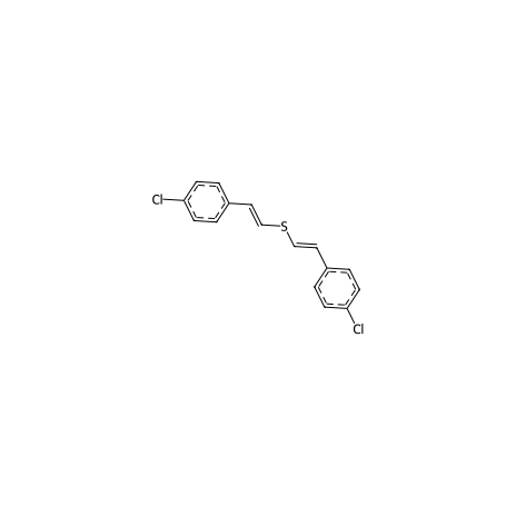 Clc1ccc(C=CSC=Cc2ccc(Cl)cc2)cc1